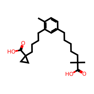 Cc1ccc(CCCCCC(C)(C)C(=O)O)cc1CCCCC1(C(=O)O)CC1